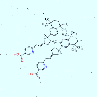 CC1(C)CCC(C)(C)c2cc(C34CCC(=CCc5ccc(C(=O)O)cn5)C3C4)ccc21.Cc1cc2c(cc1C13CCC(=CCc4ccc(C(=O)O)cn4)C1C3)C(C)(C)CCC2(C)C